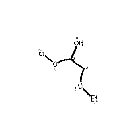 CCOC[C](O)OCC